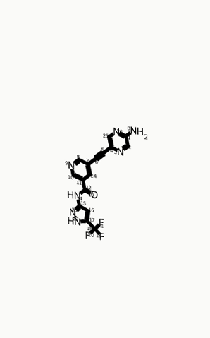 Nc1cnc(C#Cc2cncc(C(=O)Nc3cc(C(F)(F)F)[nH]n3)c2)cn1